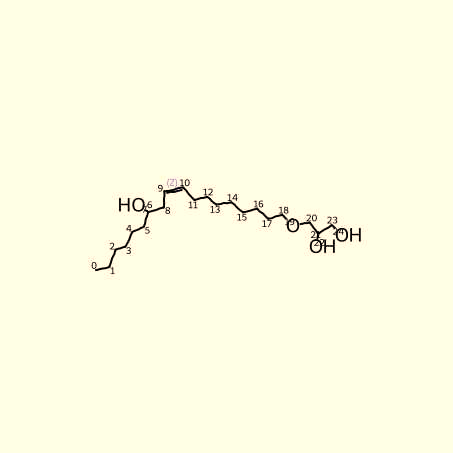 CCCCCCC(O)C/C=C\CCCCCCCCOCC(O)CO